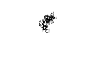 COC(c1ccc(Cl)cc1Cl)C(C)NC(=O)C1(C)C(C)N(C)N(C)C1Cl